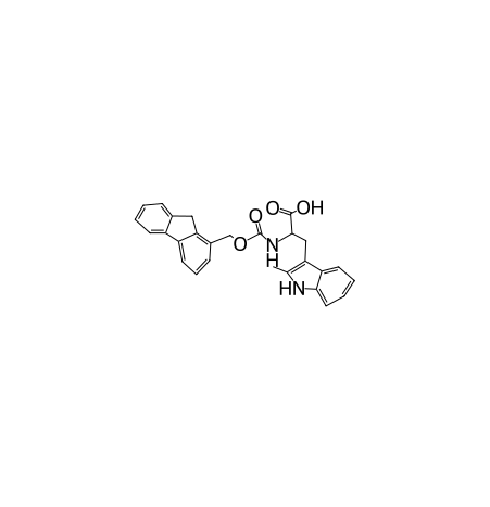 Cc1[nH]c2ccccc2c1CC(NC(=O)OCc1cccc2c1Cc1ccccc1-2)C(=O)O